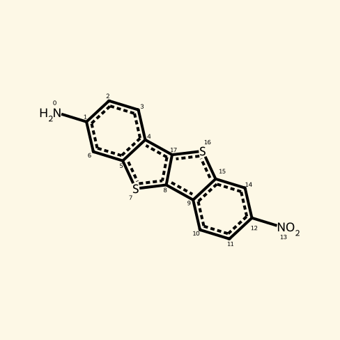 Nc1ccc2c(c1)sc1c3ccc([N+](=O)[O-])cc3sc21